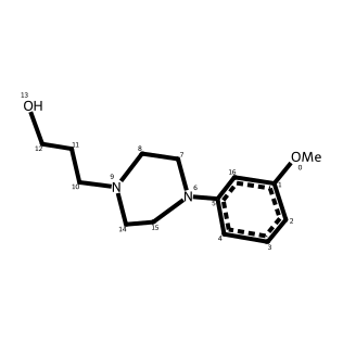 COc1cccc(N2CCN(CCCO)CC2)c1